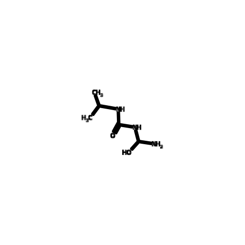 CC(C)NC(=O)NC(N)O